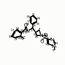 Cn1cnc(S(=O)(=O)N2CC(C(NC(=O)c3ccccc3F)c3ccccc3)C2)c1